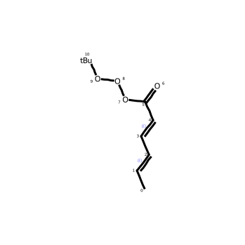 C/C=C/C=C/C(=O)OOOC(C)(C)C